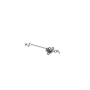 CCCCCCCCCCCCCCCCCCOc1cccc(C(OCCC)(c2ccccc2)c2ccccc2)c1N1C(=O)c2ccccc2C1=O